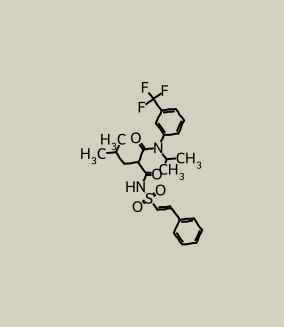 CC(C)CC(C(=O)NS(=O)(=O)/C=C/c1ccccc1)C(=O)N(c1cccc(C(F)(F)F)c1)C(C)C